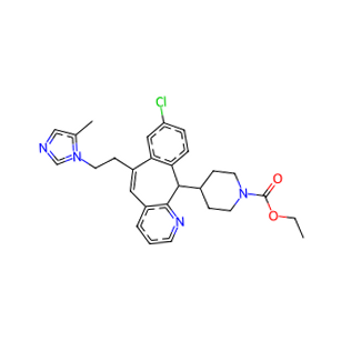 CCOC(=O)N1CCC(C2c3ccc(Cl)cc3C(CCn3cncc3C)=Cc3cccnc32)CC1